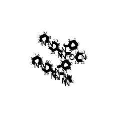 c1ccc(Cn2c(COc3ccncc3)nnc2C2CCN(c3ccccn3)CC2)cc1.c1ccc(Cn2c(Cn3ccnn3)nnc2C2CCN(c3ccccn3)CC2)cc1